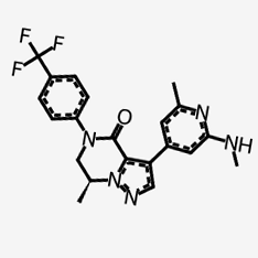 CNc1cc(-c2cnn3c2C(=O)N(c2ccc(C(F)(F)F)cc2)C[C@@H]3C)cc(C)n1